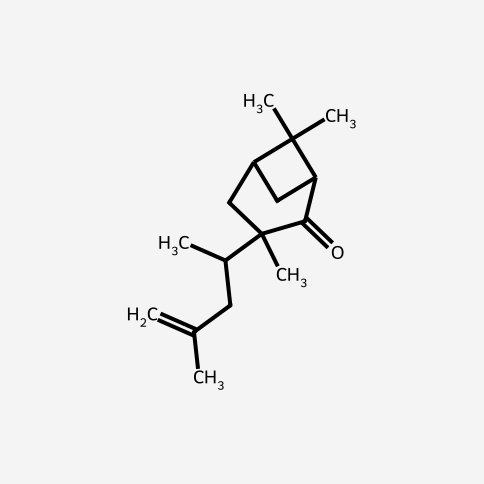 C=C(C)CC(C)C1(C)CC2CC(C1=O)C2(C)C